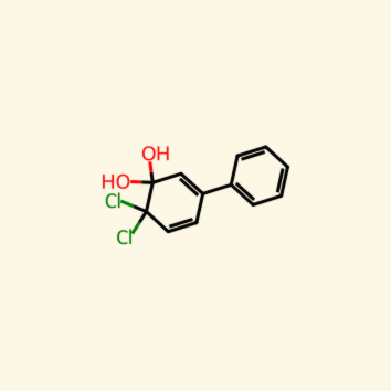 OC1(O)C=C(c2ccccc2)C=CC1(Cl)Cl